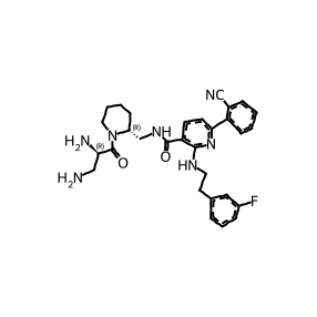 N#Cc1ccccc1-c1ccc(C(=O)NC[C@H]2CCCCN2C(=O)[C@H](N)CN)c(NCCc2cccc(F)c2)n1